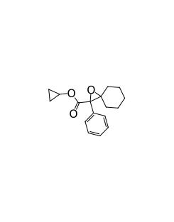 O=C(OC1CC1)C1(c2ccccc2)OC12CCCCC2